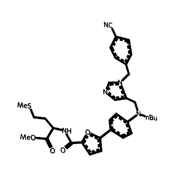 CCCCN(Cc1cncn1Cc1ccc(C#N)cc1)c1ccc(-c2ccc(C(=O)NC(CCSC)C(=O)OC)o2)cc1